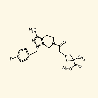 COC(=O)C1(C)CC(CC(=O)N2CCc3c(C)nn(Cc4ccc(F)cc4)c3C2)C1